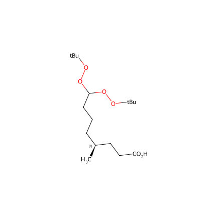 C[C@@H](CCCC(OOC(C)(C)C)OOC(C)(C)C)CCC(=O)O